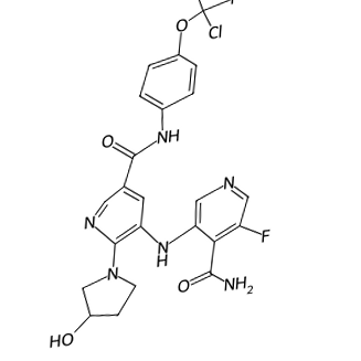 NC(=O)c1c(F)cncc1Nc1cc(C(=O)Nc2ccc(OC(F)(F)Cl)cc2)cnc1N1CCC(O)C1